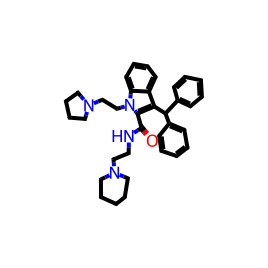 O=C(NCCN1CCCCC1)c1c(C(c2ccccc2)c2ccccc2)c2ccccc2n1CCN1CCCC1